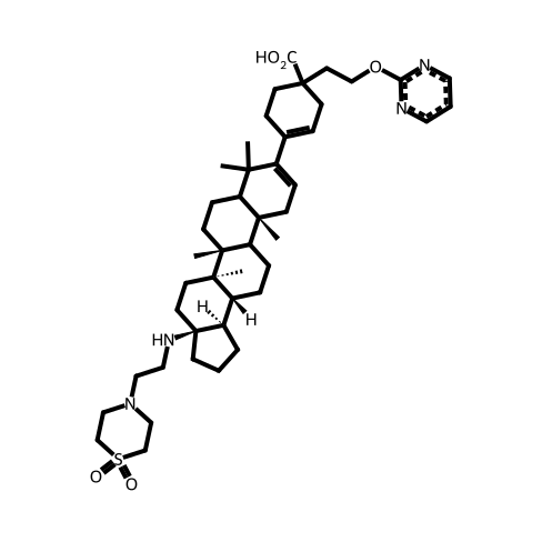 CC1(C)C(C2=CCC(CCOc3ncccn3)(C(=O)O)CC2)=CC[C@@]2(C)C1CC[C@]1(C)C2CC[C@@H]2[C@H]3CCC[C@]3(NCCN3CCS(=O)(=O)CC3)CC[C@]21C